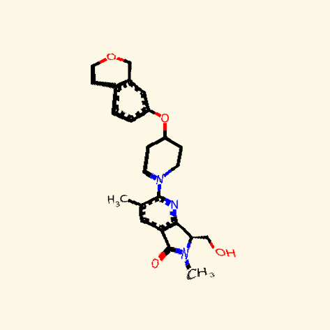 Cc1cc2c(nc1N1CCC(Oc3ccc4c(c3)COCC4)CC1)[C@@H](CO)N(C)C2=O